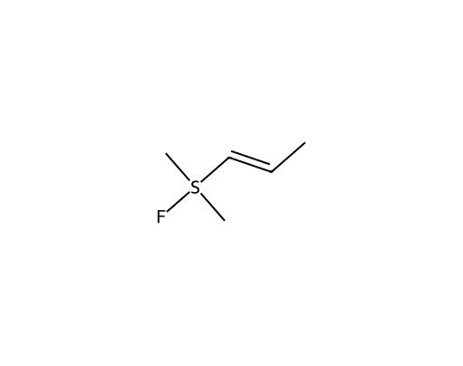 CC=CS(C)(C)F